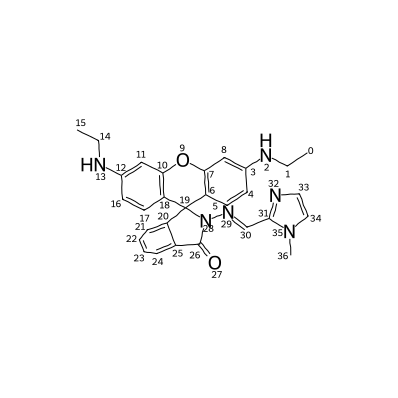 CCNc1ccc2c(c1)Oc1cc(NCC)ccc1C21c2ccccc2C(=O)N1/N=C/c1nccn1C